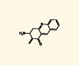 C=C1C(=O)c2cc3ccccc3nc2CC1N